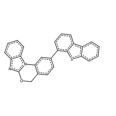 c1ccc2c(c1)nc1n2-c2cc(-c3cccc4c3sc3ccccc34)ccc2CO1